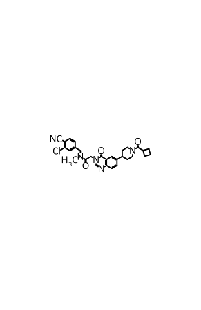 CN(Cc1ccc(C#N)c(Cl)c1)C(=O)Cn1cnc2ccc(C3CCN(C(=O)C4CCC4)CC3)cc2c1=O